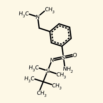 CN(C)Cc1cccc(S(N)(=O)=N[Si](C)(C)C(C)(C)C)c1